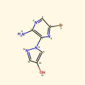 Nc1ncc(Br)nc1-n1cc(O)cn1